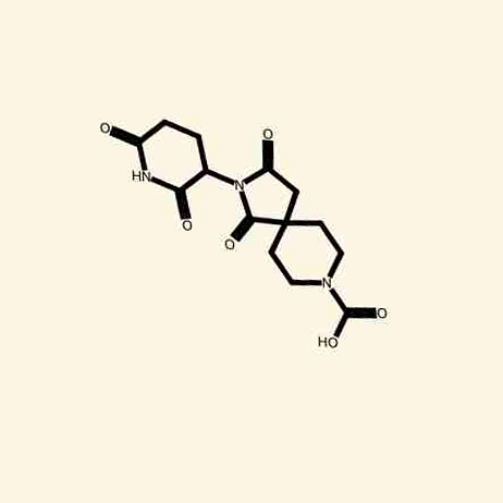 O=C1CCC(N2C(=O)CC3(CCN(C(=O)O)CC3)C2=O)C(=O)N1